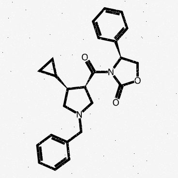 O=C1OC[C@H](c2ccccc2)N1C(=O)[C@H]1CN(Cc2ccccc2)C[C@H]1C1CC1